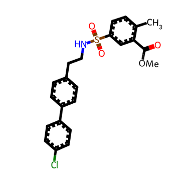 COC(=O)c1cc(S(=O)(=O)NCCc2ccc(-c3ccc(Cl)cc3)cc2)ccc1C